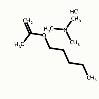 C=C(C)OCCCCC.CN(C)C.Cl